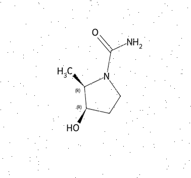 C[C@@H]1[C@H](O)CCN1C(N)=O